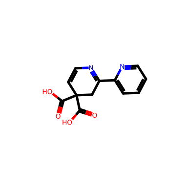 O=C(O)C1(C(=O)O)C=CN=C(c2ccccn2)C1